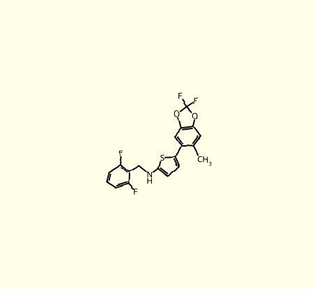 Cc1cc2c(cc1-c1ccc(NCc3c(F)cccc3F)s1)OC(F)(F)O2